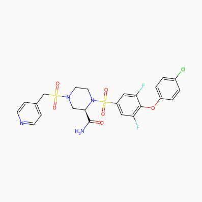 NC(=O)[C@H]1CN(S(=O)(=O)Cc2ccncc2)CCN1S(=O)(=O)c1cc(F)c(Oc2ccc(Cl)cc2)c(F)c1